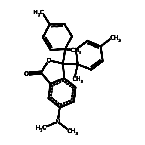 CC1=CCC(C)(C2(C3(C)C=CC(C)=CC3)OC(=O)c3cc(N(C)C)ccc32)C=C1